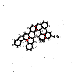 CC(C)(C)c1cc(-c2cccc3cccc(-c4ccccc4N(c4ccc5ccccc5c4)c4ccccc4-c4ccc5c(c4)oc4ccccc45)c23)cc(C(C)(C)C)c1